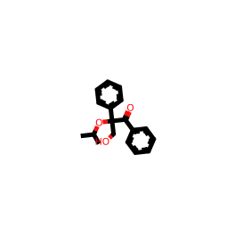 CC(C)OC(CO)(C(=O)c1ccccc1)c1ccccc1